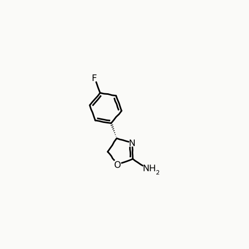 NC1=N[C@@H](c2ccc(F)cc2)CO1